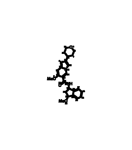 COc1cc2nc(C3CCOCC3)cn2cc1C(=O)NC1CC(OC)c2ccccc21